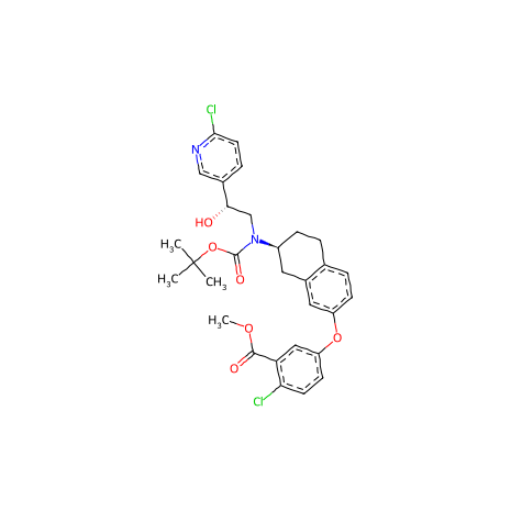 COC(=O)c1cc(Oc2ccc3c(c2)C[C@@H](N(C[C@H](O)c2ccc(Cl)nc2)C(=O)OC(C)(C)C)CC3)ccc1Cl